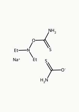 CCN(CC)OC(N)=S.NC([O-])=S.[Na+]